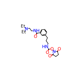 CCN(CC)CCNC(=O)c1cccc(CCCNC(=O)ON2C(=O)CCC2=O)c1